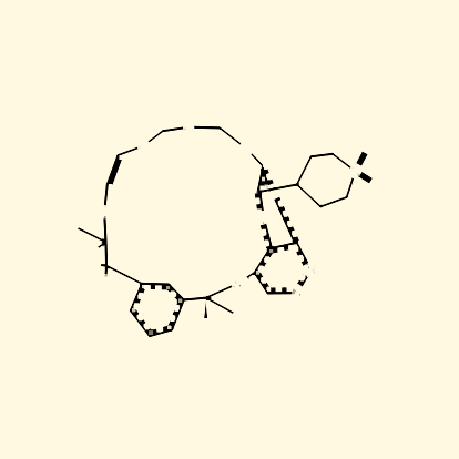 C[C@H]1Nc2cnnc3cc(c(C4CCS(=O)(=O)CC4)cc23)CCCCC/C=C\CC(C)(O)C(F)(F)c2cccc1c2